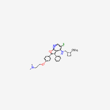 COC1CCC1CNc1c(F)cnc2oc(-c3ccc(OCCN(C)C)cc3)c(-c3ccccc3)c12